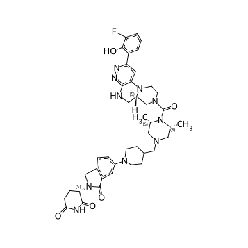 C[C@@H]1CN(CC2CCN(c3ccc4c(c3)C(=O)N([C@H]3CCC(=O)NC3=O)C4)CC2)C[C@H](C)N1C(=O)N1CCN2c3cc(-c4cccc(F)c4O)nnc3NC[C@H]2C1